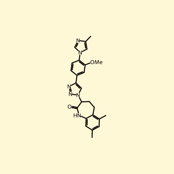 COc1cc(-c2cn(C3CCc4c(C)cc(C)cc4NC3=O)nn2)ccc1-n1cnc(C)c1